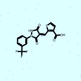 O=C1NN(c2cccc(C(F)(F)F)c2)C(=O)/C1=C/c1sccc1C(=O)O